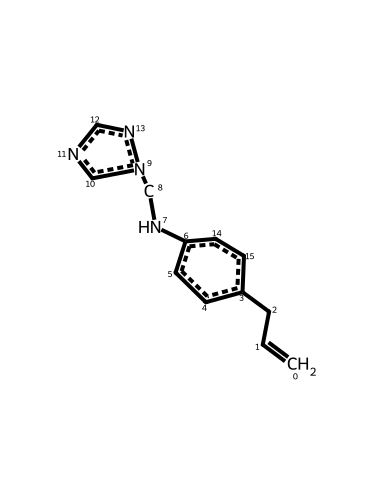 C=CCc1ccc(NCn2cncn2)cc1